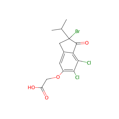 CC(C)C1(Br)Cc2cc(OCC(=O)O)c(Cl)c(Cl)c2C1=O